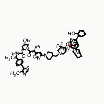 Cc1ncsc1-c1ccc([C@H](C)NC(=O)[C@@H]2C[C@@H](O)CN2C(=O)[C@@H](c2cc(N3CCC(CN4CC[C@@H](Oc5cc(N6C7CCC6CN(c6cc(-c8ccccc8O)nnc6N)C7)ccn5)C(F)(F)C4)CC3)no2)C(C)C)cc1